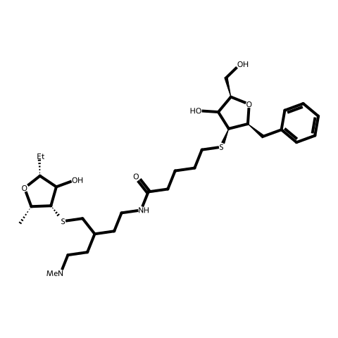 CC[C@H]1O[C@@H](C)[C@@H](SCC(CCNC)CCNC(=O)CCCCS[C@H]2C(O)[C@@H](CO)O[C@H]2Cc2ccccc2)C1O